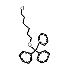 ClCCCCCCOC(c1ccccc1)(c1ccccc1)c1ccccc1